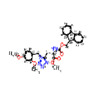 COC(=O)[C@H](Cc1nnnn1Cc1ccc(OC)cc1OC)NC(=O)OCC1c2ccccc2-c2ccccc21